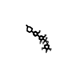 CC1CCCC(c2ccc(-c3cc(F)c(C(F)(F)Oc4cc(F)c(F)c(F)c4)c(F)c3)c(F)c2)CC1